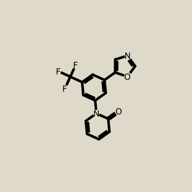 O=c1ccccn1-c1cc(-c2cnco2)cc(C(F)(F)F)c1